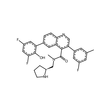 Cc1cc(F)cc(-c2cnc3ccc(-c4cc(F)cc(F)c4O)cc3c2C(=O)N(C)C[C@@H]2CCCN2)c1